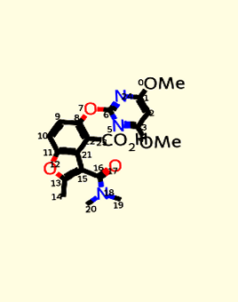 COc1cc(OC)nc(Oc2ccc3oc(C)c(C(=O)N(C)C)c3c2C(=O)O)n1